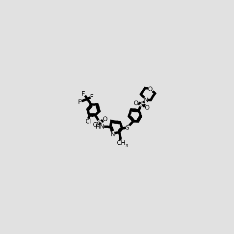 CCc1nc(NS(=O)(=O)c2ccc(C(F)(F)F)cc2Cl)ccc1Sc1ccc(S(=O)(=O)N2CCOCC2)cc1